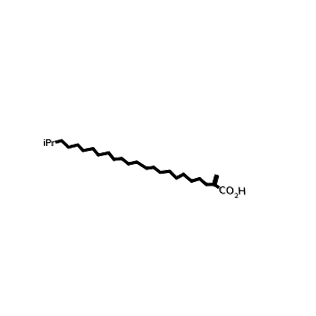 C=C(CCCCCCCCCCCCCCCCCCCCC(C)C)C(=O)O